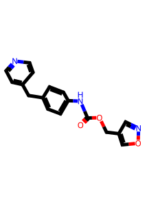 O=C(Nc1ccc(Cc2ccncc2)cc1)OCc1cnoc1